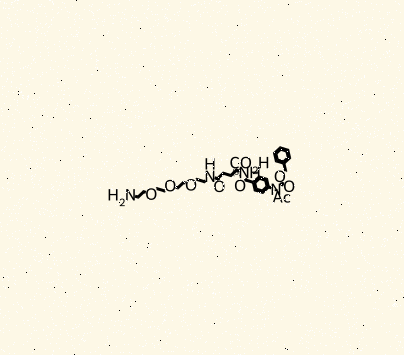 CC(=O)N(C(=O)OCc1ccccc1)c1ccc(C(=O)N[C@@H](CCC(=O)NCCOCCOCCOCCN)C(=O)O)cc1